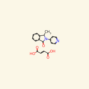 CC1c2ccccc2C(=O)N1c1ccncc1.O=C(O)C=CC(=O)O